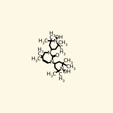 CC1(C)C=CN(C2CC(C)(C)N(O)C(C)(C)C2)C(=O)N(C2CC(C)(C)N(O)C(C)(C)C2)C1